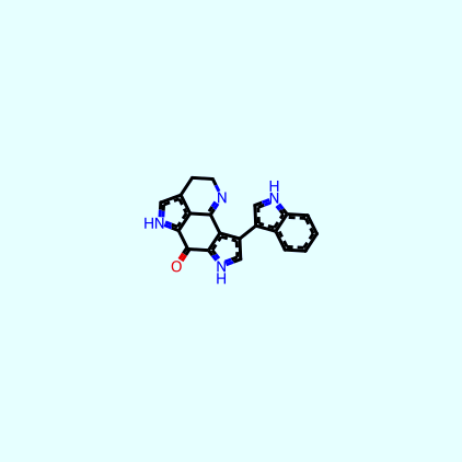 O=C1c2[nH]cc3c2C(=NCC3)c2c(-c3c[nH]c4ccccc34)c[nH]c21